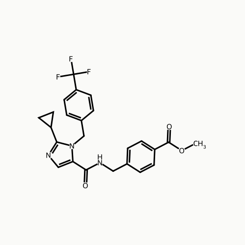 COC(=O)c1ccc(CNC(=O)c2cnc(C3CC3)n2Cc2ccc(C(F)(F)F)cc2)cc1